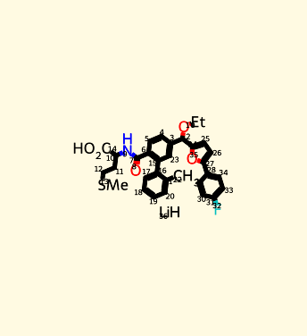 CCOC(c1ccc(C(=O)NC(CCSC)C(=O)O)c(-c2ccccc2C)c1)c1ccc(-c2ccc(F)cc2)o1.[LiH]